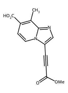 COC(=O)C#Cc1cnc2c(C)c(C(=O)O)ccn12